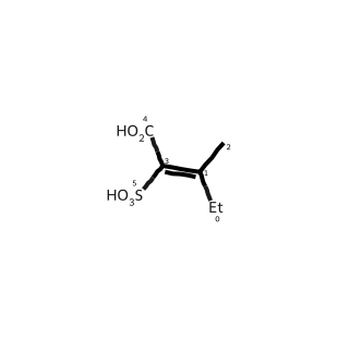 CCC(C)=C(C(=O)O)S(=O)(=O)O